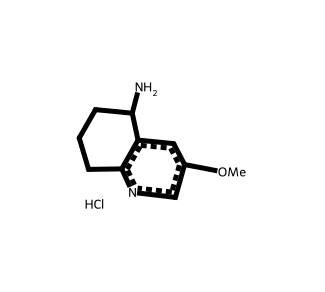 COc1cnc2c(c1)C(N)CCC2.Cl